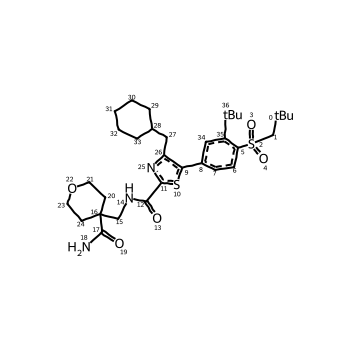 CC(C)(C)CS(=O)(=O)c1ccc(-c2sc(C(=O)NCC3(C(N)=O)CCOCC3)nc2CC2CCCCC2)cc1C(C)(C)C